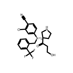 N#Cc1ccc(N(Cc2ccccc2C(F)(F)F)[C@@]2(C(=O)CCO)CCNC2)cc1Cl